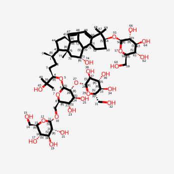 C[C@H](CC[C@@H](O[C@@H]1O[C@H](CO[C@H]2O[C@H](CO)[C@@H](O)[C@H](O)[C@H]2O)[C@@H](O)[C@H](O)[C@H]1O[C@H]1O[C@@H](CO)[C@H](O)[C@@H](O)[C@@H]1O)C(C)(C)O)C1CC[C@@]23C=C4C=C5C(CC[C@H](O[C@@H]6O[C@H](CO)[C@@H](O)[C@H](O)[C@H]6O)C5(C)C)[C@@](C)(C42)[C@H](O)C[C@]13C